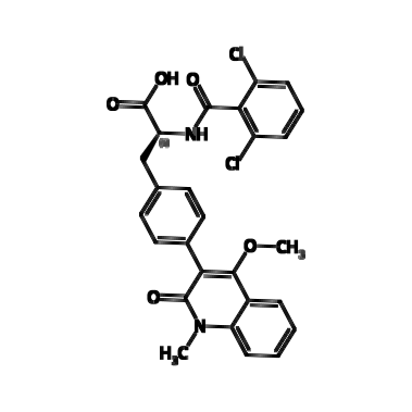 COc1c(-c2ccc(C[C@H](NC(=O)c3c(Cl)cccc3Cl)C(=O)O)cc2)c(=O)n(C)c2ccccc12